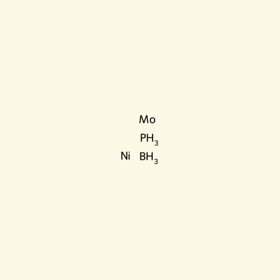 B.P.[Mo].[Ni]